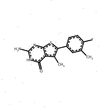 Cc1cc(-c2sc3nc(N)[nH]c(=O)c3c2C)ccc1F